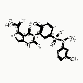 CN(c1cccc(Cl)c1)S(=O)(=O)c1ccc(Cl)c(-n2c(=O)[nH]c3csc(C(=O)O)c3c2=O)c1